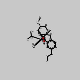 CCCc1ccc2c(c1)C1(NC(=O)N(C(C)C)C1=O)[C@]1(CC[C@H](OC)CC1)C2